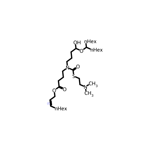 CCCCCC/C=C\COC(=O)CCCN(CCCC(O)OC(CCCCCC)CCCCCC)C(=O)SCCN(C)C